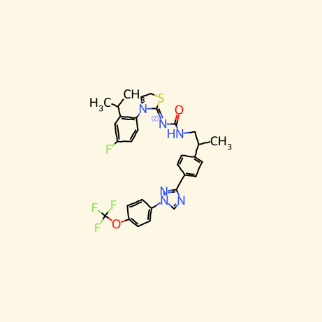 CC(C)c1cc(F)ccc1N1CCS/C1=N\C(=O)NCC(C)c1ccc(-c2ncn(-c3ccc(OC(F)(F)F)cc3)n2)cc1